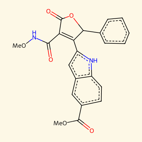 CONC(=O)C1=C(c2cc3cc(C(=O)OC)ccc3[nH]2)C(c2ccccc2)OC1=O